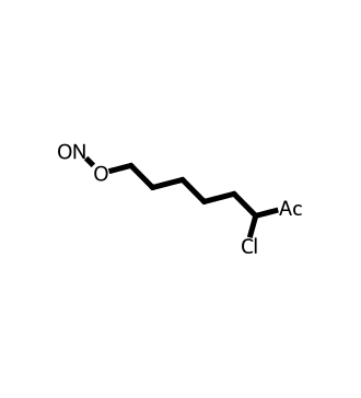 CC(=O)C(Cl)CCCCCON=O